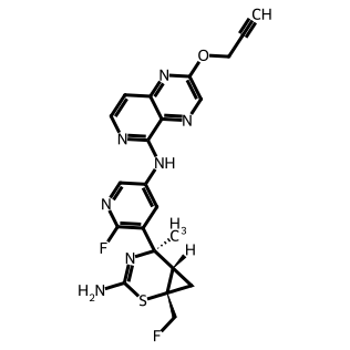 C#CCOc1cnc2c(Nc3cnc(F)c([C@]4(C)N=C(N)S[C@@]5(CF)C[C@H]54)c3)nccc2n1